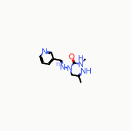 CNC(=O)N(CC(C)=N)/N=C/c1cccnc1